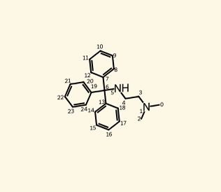 CN(C)CCNC(c1ccccc1)(c1ccccc1)c1ccccc1